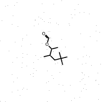 CC(CC(C)(C)C)C(C)O[C]=O